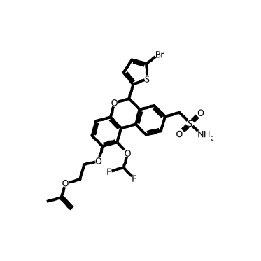 C=C(C)OCCOc1ccc2c(c1OC(F)F)-c1ccc(CS(N)(=O)=O)cc1C(c1ccc(Br)s1)O2